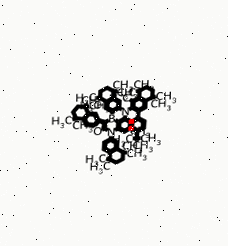 Cc1cc2c3c(c1)N(c1c(-c4ccc(C(C)(C)C)cc4)cc4c(c1C)C(C)(C)CCC4(C)C)c1cc4c(cc1B3c1c(oc3cc5c(cc13)C(C)(C)CCC5(C)C)N2c1ccc2c(c1)C(C)(C)CCC2(C)C)C(C)(C)CCC4(C)C